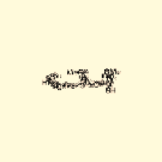 COC(=O)c1cccc(CN(CCO)CCOCCOCCN(CCOCCCSCCOCCOc2ccc(NC(=O)OC(C)(C)C)cc2)Cc2cccc(C(=O)OC)n2)n1